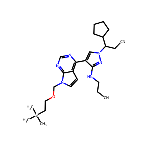 C[Si](C)(C)CCOCn1ccc2c(-c3cn(C(CC#N)C4CCCC4)nc3NCCC#N)ncnc21